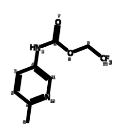 Cc1ccc(NC(=O)OCC(F)(F)F)cn1